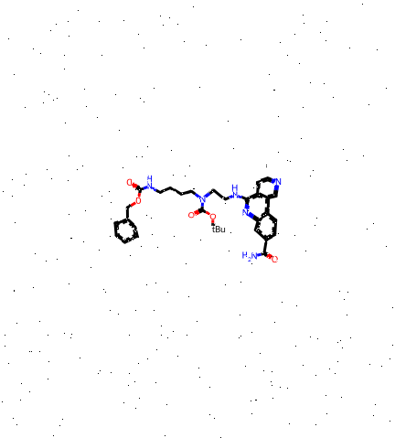 CC(C)(C)OC(=O)N(CCCCNC(=O)OCc1ccccc1)CCNc1nc2cc(C(N)=O)ccc2c2cnccc12